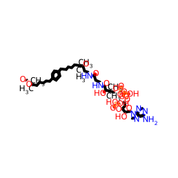 CC(C)(CCCCCc1ccc(CCCCCC(C)(C)C(=O)CCNC(=O)CCNC(=O)C(O)C(C)(C)COP(=O)(O)OP(=O)(O)OCC2OC(n3cnc4c(N)ncnc43)C(O)C2OP(=O)(O)O)cc1)OC=O